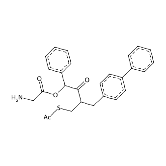 CC(=O)SCC(Cc1ccc(-c2ccccc2)cc1)C(=O)C(OC(=O)CN)c1ccccc1